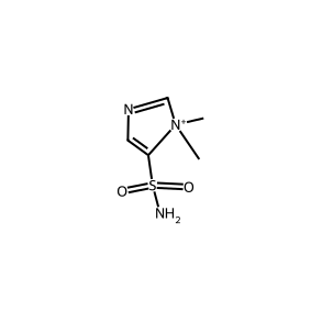 C[N+]1(C)C=NC=C1S(N)(=O)=O